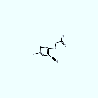 N#Cc1cc(Br)ccc1OCC(=O)O